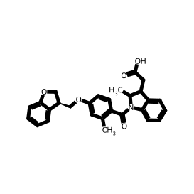 Cc1cc(OC[C@@H]2COc3ccccc32)ccc1C(=O)N1c2ccccc2C(CC(=O)O)C1C